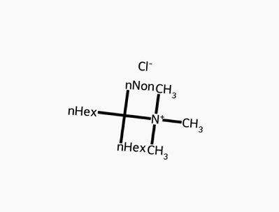 CCCCCCCCCC(CCCCCC)(CCCCCC)[N+](C)(C)C.[Cl-]